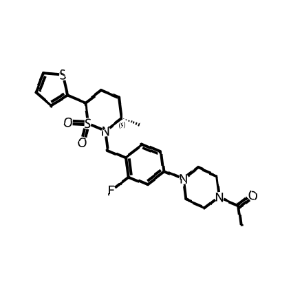 CC(=O)N1CCN(c2ccc(CN3[C@@H](C)CCC(c4cccs4)S3(=O)=O)c(F)c2)CC1